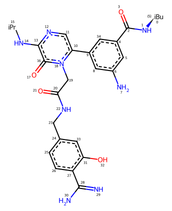 CC[C@H](C)NC(=O)c1cc(N)cc(-c2cnc(NC(C)C)c(=O)n2CC(=O)NCc2ccc(C(=N)N)c(O)c2)c1